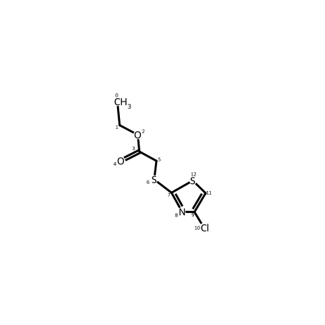 CCOC(=O)CSc1nc(Cl)cs1